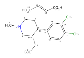 CC(C)COC[C@@H]1CN(C)CC[C@@H]1c1ccc(Cl)c(Cl)c1.O=C(O)C=CC(=O)O